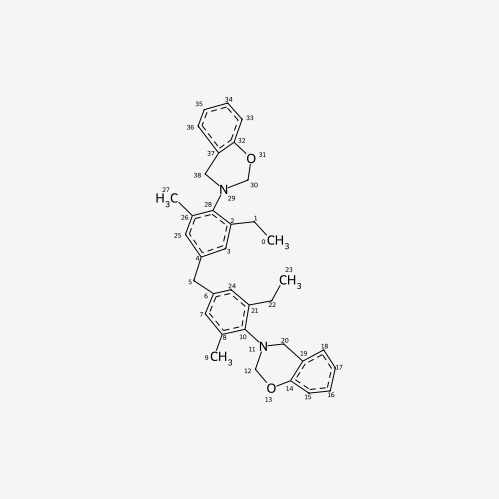 CCc1cc(Cc2cc(C)c(N3COc4ccccc4C3)c(CC)c2)cc(C)c1N1COc2ccccc2C1